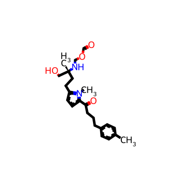 Cc1ccc(CCCC(=O)c2ccc(CC[C@](C)(CO)NCOC=O)n2C)cc1